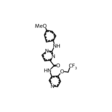 COc1ccc(Nc2nccc(C(=O)Nc3cnccc3OCC(F)(F)F)n2)cc1